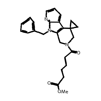 COC(=O)CCCCC(=O)N1Cc2c(c3cccnc3n2Cc2ccccc2)C2(CC2)C1